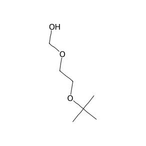 CC(C)(C)OCCOCO